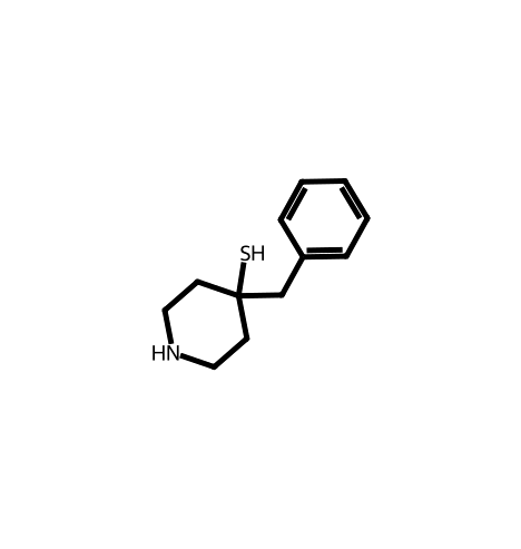 SC1(Cc2ccccc2)CCNCC1